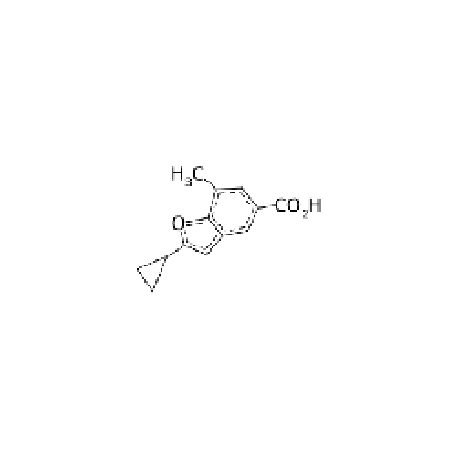 Cc1cc(C(=O)O)cc2cc(C3CC3)oc12